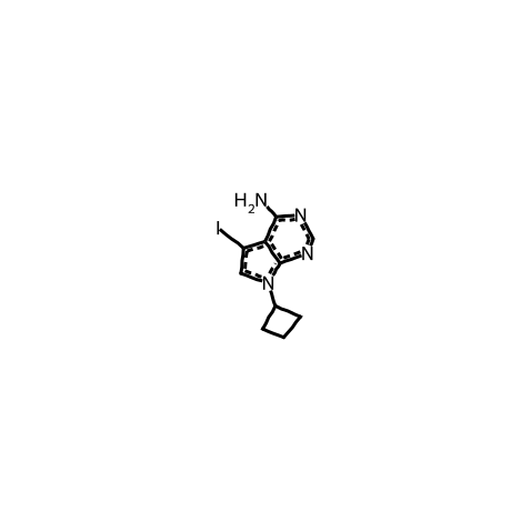 Nc1ncnc2c1c(I)cn2C1CCC1